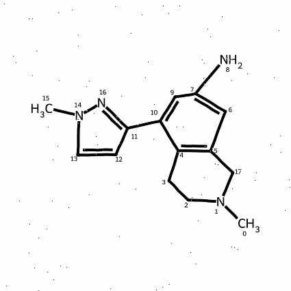 CN1CCc2c(cc(N)cc2-c2ccn(C)n2)C1